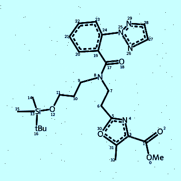 COC(=O)c1nc(CCN(CCCO[Si](C)(C)C(C)(C)C)C(=O)c2ccccc2-n2nccn2)oc1C